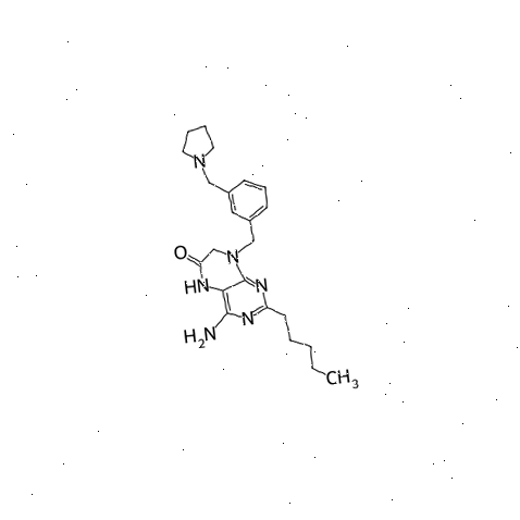 CCCCCc1nc(N)c2c(n1)N(Cc1cccc(CN3CCCC3)c1)CC(=O)N2